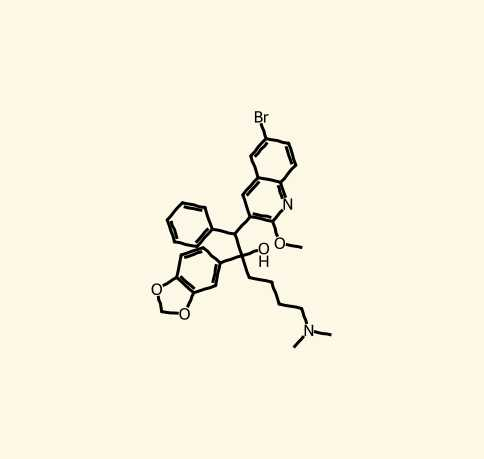 COc1nc2ccc(Br)cc2cc1C(c1ccccc1)C(O)(CCCCN(C)C)c1ccc2c(c1)OCO2